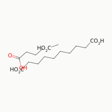 CC(=O)O.CCCC(=O)O.O=C(O)CCCCCCCCC(=O)O